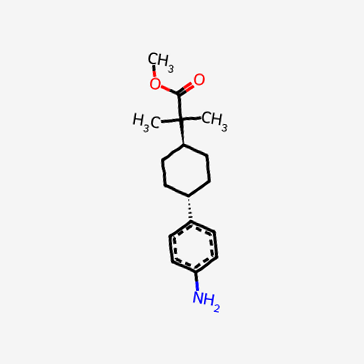 COC(=O)C(C)(C)[C@H]1CC[C@H](c2ccc(N)cc2)CC1